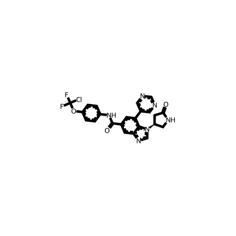 O=C1C[C@H](n2cnc3cc(C(=O)Nc4ccc(OC(F)(F)Cl)cc4)cc(-c4cncnc4)c32)CN1